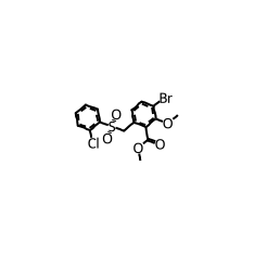 COC(=O)c1c(CS(=O)(=O)c2ccccc2Cl)ccc(Br)c1OC